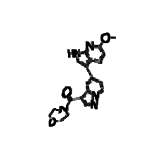 COc1ccc2c(-c3ccn4ncc(C(=O)N5CCOCC5)c4c3)c[nH]c2n1